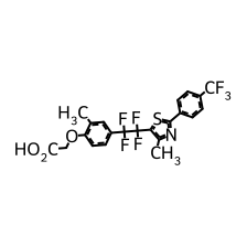 Cc1cc(C(F)(F)C(F)(F)c2sc(-c3ccc(C(F)(F)F)cc3)nc2C)ccc1OCC(=O)O